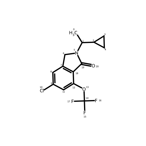 CC(C1CC1)N1Cc2cc(Cl)cc(OC(F)(F)F)c2C1=O